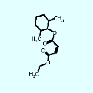 CCOC(=O)/C=C\C(=O)OC1C(C)CCCC1C